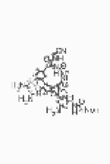 CCCCCCCCCC(=O)NCC(=O)N[C@@H](CCN)C(=O)N(C)[C@@H]1C(=O)N[C@@H](C)C(=O)N[C@H](C(=O)NCC#N)Cc2ccc(OCCN)c(c2)-c2cc1ccc2OCCN